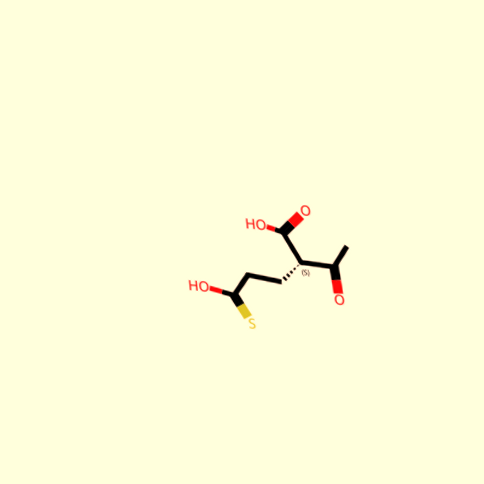 CC(=O)[C@H](CCC(O)=S)C(=O)O